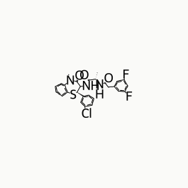 C[C@H](NC(=O)Cc1cc(F)cc(F)c1)C(=O)N[C@@H]1C(=O)N(C)c2ccccc2S[C@@H]1c1cccc(Cl)c1